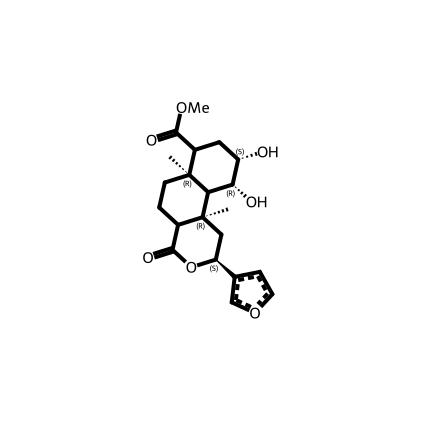 COC(=O)C1C[C@H](O)[C@H](O)C2[C@@]1(C)CCC1C(=O)O[C@H](c3ccoc3)C[C@@]12C